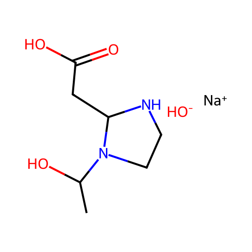 CC(O)N1CCNC1CC(=O)O.[Na+].[OH-]